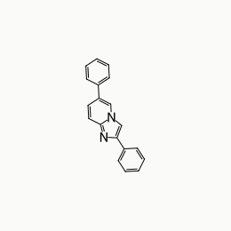 c1ccc(-c2ccc3nc(-c4ccccc4)cn3c2)cc1